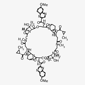 COc1ccc2nc(C(=O)N[C@@H]3COC(=O)[C@H](C(C)(C)O)N(C)C(=O)CN(C)C(=O)CNC(=O)[C@@H]4[C@@H](OC(=O)[C@H]5C[C@@H]5C)CC=NN4C(=O)[C@H](NC(=O)c4cnc5cc(OC)ccc5n4)COC(=O)[C@H](C(C)(C)O)N(C)C(=O)CN(C)C(=O)CNC(=O)[C@@H]4[C@@H](OC(=O)[C@H]5C[C@@H]5C)CC=NN4C3=O)cnc2c1